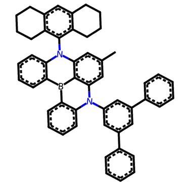 Cc1cc2c3c(c1)N(c1c4c(cc5c1CCCC5)CCCC4)c1ccccc1B3c1ccccc1N2c1cc(-c2ccccc2)cc(-c2ccccc2)c1